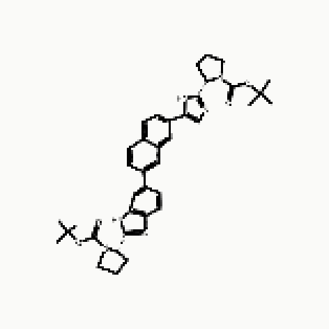 CC(C)(C)OC(=O)N1CCC[C@H]1c1ncc(-c2ccc3ccc(-c4ccc5nc([C@@H]6CCCN6C(=O)OC(C)(C)C)[nH]c5c4)cc3c2)[nH]1